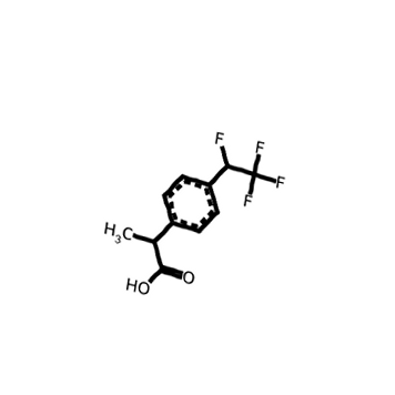 CC(C(=O)O)c1ccc(C(F)C(F)(F)F)cc1